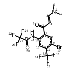 CN(C)C=CC(=O)c1cc(Br)c(C(F)(F)F)cc1NC(=O)C(F)(F)F